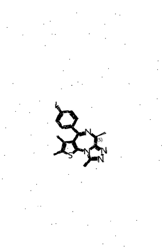 Cc1sc2c(c1C)C(c1ccc(I)cc1)=N[C@@H](C)c1nnc(C)n1-2